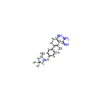 CCC1=C(c2ccc(SN3CC(F)(F)CC3CC)cc2C)CCC(N)=C1C(=N)N